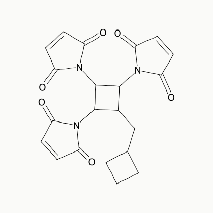 O=C1C=CC(=O)N1C1C(CC2CCC2)C(N2C(=O)C=CC2=O)C1N1C(=O)C=CC1=O